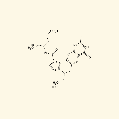 Cc1nc2ccc(CN(C)c3ccc(C(=O)NC(CCC(=O)O)C(=O)O)s3)cc2c(=O)[nH]1.O.O.O